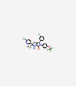 CC(C)(N[C@H]1C[C@@H](c2cccc(F)c2)N(c2ccc(OC(F)(F)F)cc2)C1=O)c1ccc(Cl)nc1